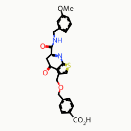 COc1cccc(CNC(=O)C2=Nc3scc(COCc4ccc(C(=O)O)cc4)c3C(=O)C2)c1